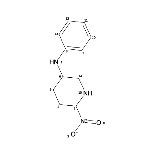 O=[N+]([O-])C1CCC(Nc2ccccc2)CN1